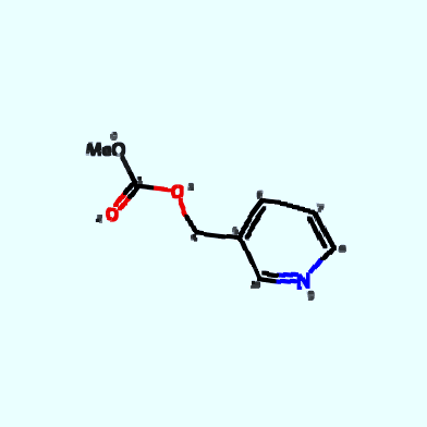 [CH2]OC(=O)OCc1cccnc1